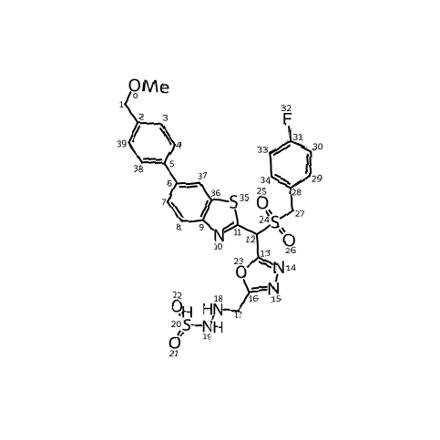 COCc1ccc(-c2ccc3nc(C(c4nnc(CNN[SH](=O)=O)o4)S(=O)(=O)Cc4ccc(F)cc4)sc3c2)cc1